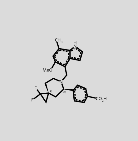 COc1cc(C)c2[nH]ccc2c1CN1CC[C@@]2(C[C@@H]1c1ccc(C(=O)O)cc1)CC2(F)F